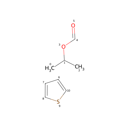 CC(C)OC=O.c1ccsc1